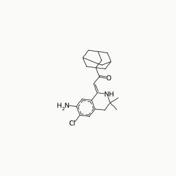 CC1(C)Cc2cc(Cl)c(N)cc2/C(=C/C(=O)C23CC4CC(CC(C4)C2)C3)N1